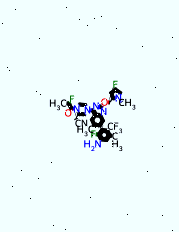 Cc1cc(N)c(F)c([C@H]2Cc3nc(OC[C@@H]4C[C@@H](F)CN4C)nc(N4CCN(C(=O)C(C)F)[C@@H](CC#N)C4)c3C[C@@H]2C)c1C(F)(F)F